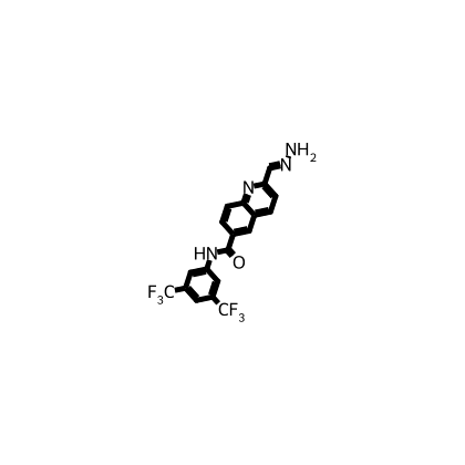 NN=Cc1ccc2cc(C(=O)Nc3cc(C(F)(F)F)cc(C(F)(F)F)c3)ccc2n1